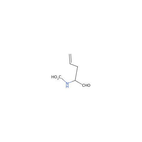 C=CCC(C=O)NC(=O)O